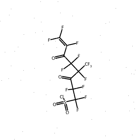 O=C(C(F)=C(F)F)C(F)(F)C(F)(C(=O)C(F)(F)C(F)(F)S(=O)(=O)Cl)C(F)(F)F